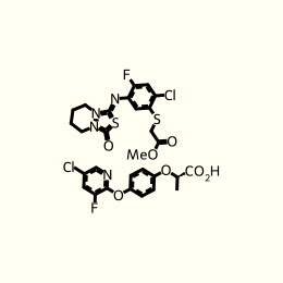 COC(=O)CSc1cc(/N=c2\sc(=O)n3n2CCCC3)c(F)cc1Cl.C[C@@H](Oc1ccc(Oc2ncc(Cl)cc2F)cc1)C(=O)O